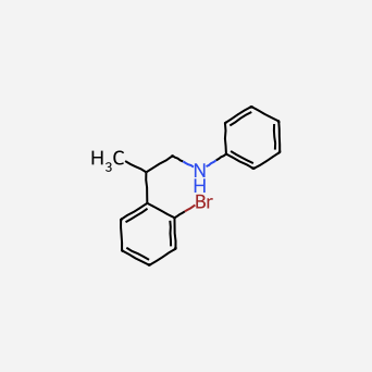 CC(CNc1ccccc1)c1ccccc1Br